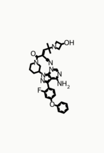 CC(C)(/C=C(\C#N)C(=O)N1CCCC(n2nc(-c3ccc(Oc4ccccc4)cc3F)c3c(N)ncnc32)C1)N1CC(O)C1